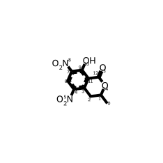 CC1Cc2c([N+](=O)[O-])cc([N+](=O)[O-])c(O)c2C(=O)O1